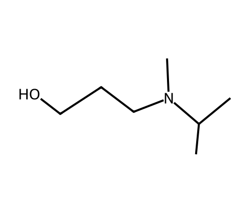 CC(C)N(C)CCCO